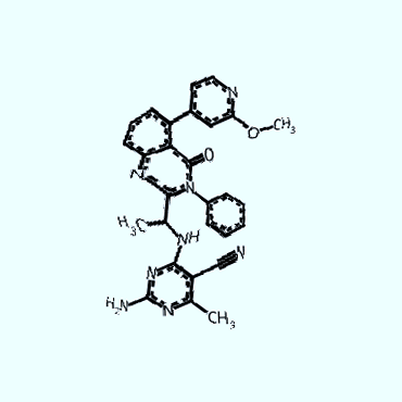 COc1cc(-c2cccc3nc(C(C)Nc4nc(N)nc(C)c4C#N)n(-c4ccccc4)c(=O)c23)ccn1